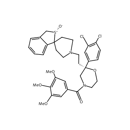 COc1cc(C(=O)N2CCO[C@](CCN3CCC4(CC3)c3ccccc3C[S@+]4[O-])(c3ccc(Cl)c(Cl)c3)C2)cc(OC)c1OC